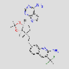 CC1(C)O[C@H]2[C@H](n3ccc4c(N)ncnc43)C[C@](C)(CCc3ccc4cc(C(C)(F)F)c(N)nc4c3)[C@H]2O1